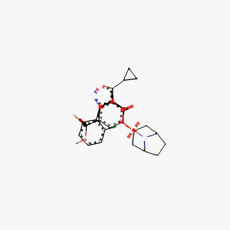 COC(=O)c1cc(F)cc(S(=O)(=O)N2[C@@H]3CC[C@H]2C[C@@H](OC(=O)c2c(-c4c(Cl)cccc4Cl)noc2C2CC2)C3)c1